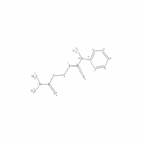 CN(C)C(=O)CCSC(=S)N(C)c1ccccc1